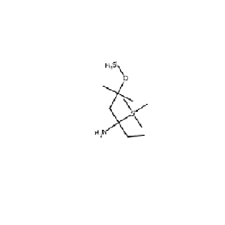 CCC(N)(CC(C)(C)O[SiH3])[Si](C)(C)C